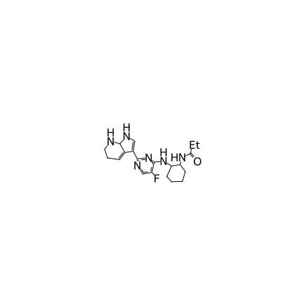 CCC(=O)NC1CCCCC1Nc1nc(C2=CNC3NCCC=C23)ncc1F